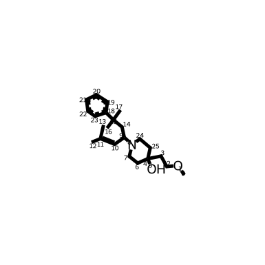 COCCC1(O)CCN(C(C=C(C)C)CC(C)(C)c2ccccc2)CC1